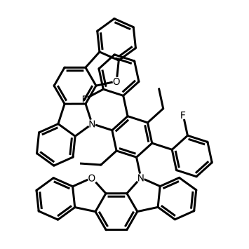 CCc1c(-c2ccccc2F)c(-n2c3ccccc3c3ccc4c5ccccc5oc4c32)c(CC)c(-n2c3ccccc3c3ccc4c5ccccc5oc4c32)c1-c1ccccc1F